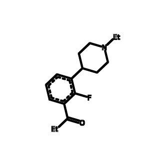 CCC(=O)c1cccc(C2CCN(CC)CC2)c1F